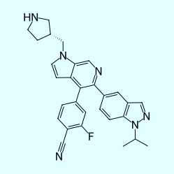 CC(C)n1ncc2cc(-c3ncc4c(ccn4C[C@@H]4CCNC4)c3-c3ccc(C#N)c(F)c3)ccc21